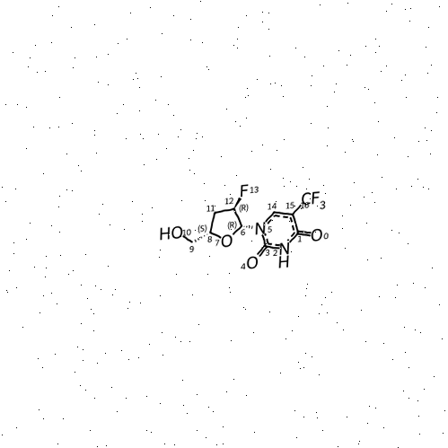 O=c1[nH]c(=O)n([C@@H]2O[C@H](CO)C[C@H]2F)cc1C(F)(F)F